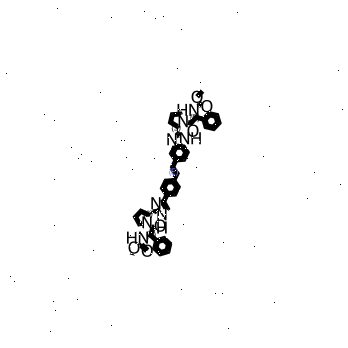 COC(=O)N[C@@H](C(=O)N1CCC[C@H]1c1nc(-c2ccc(/C=C/c3ccc4[nH]c([C@@H]5CCCN5C(=O)[C@H](NC(=O)OC)c5ccccc5)nc4c3)cc2)c[nH]1)c1ccccc1